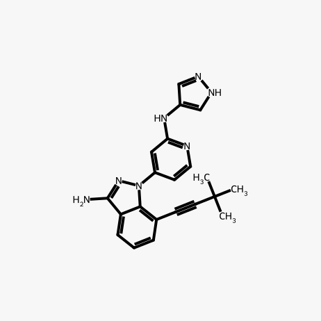 CC(C)(C)C#Cc1cccc2c(N)nn(-c3ccnc(Nc4cn[nH]c4)c3)c12